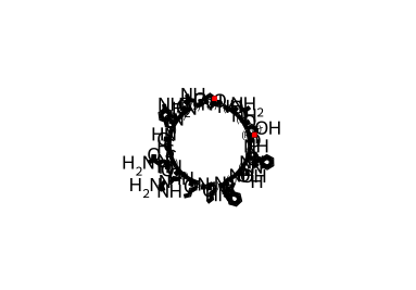 CCCC[C@H]1C(=O)N(C)[C@@H](CCCC)C(=O)N[C@@H](CCCNC(=N)N)C(=O)N[C@H](C(=O)NCC(N)=O)CSCC(=O)N[C@@H](Cc2ccc(N)cc2)C(=O)N(C)[C@@H](C)C(=O)N[C@@H](CC(N)=O)C(=O)N2CCC[C@H]2C(=O)N[C@@H](CN)C(=O)N[C@@H](CC(C)C)C(=O)C2C[C@H](O)C[C@H]2C(=O)N[C@@H](Cc2c[nH]c3ccccc23)C(=O)N[C@@H](CO)C(=O)N[C@@H](Cc2c[nH]c3ccccc23)C(=O)N1C